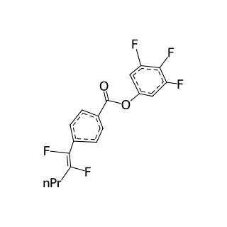 CCC/C(F)=C(\F)c1ccc(C(=O)Oc2cc(F)c(F)c(F)c2)cc1